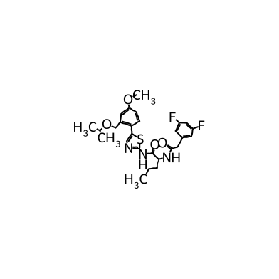 CCC[C@H](NC(=O)Cc1cc(F)cc(F)c1)C(=O)Nc1ncc(-c2ccc(OC)cc2COC(C)C)s1